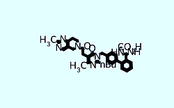 CCCCc1nc(C)c(CC(=O)N2CCc3nc(C)ncc3C2)c(=O)n1Cc1ccc(-c2ccccc2C(=N)NC(=O)O)cc1